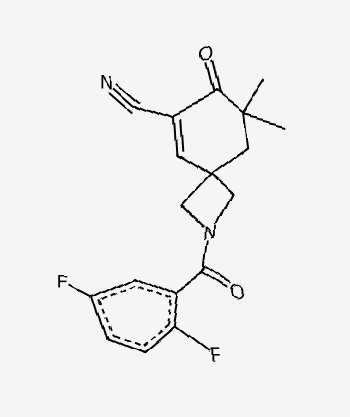 CC1(C)CC2(C=C(C#N)C1=O)CN(C(=O)c1cc(F)ccc1F)C2